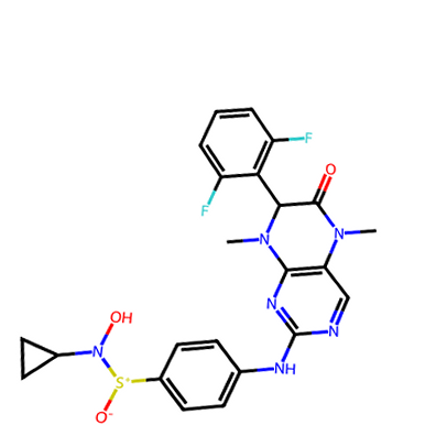 CN1C(=O)C(c2c(F)cccc2F)N(C)c2nc(Nc3ccc([S+]([O-])N(O)C4CC4)cc3)ncc21